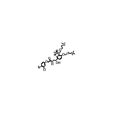 C[Si](C)(C)CCOCOc1ccc([C@H](O)CNC(=O)COc2ccc(Br)c(Cl)c2)cc1N(COCC[Si](C)(C)C)S(C)(=O)=O